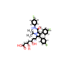 CC(C)n1c(/C=C/[C@@H](O)C[C@@H](O)CC(=O)O)c(-c2ccc(F)cc2)c(-c2ccc(F)cc2)c1C(=O)Nc1ccc(F)cc1